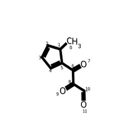 CC1C=CC=C1C(=O)C(=O)[C]=O